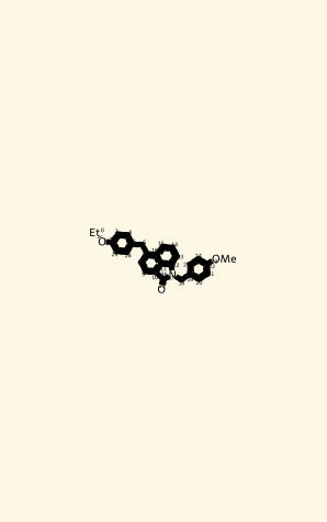 CCOc1ccc(Cc2ccc3c4c(cccc24)N(Cc2ccc(OC)cc2)C3=O)cc1